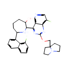 OC1CCCC(c2cccc3cccc(F)c23)NC1c1nc(OCC23CCCN2CCC3)nc2c(F)cncc12